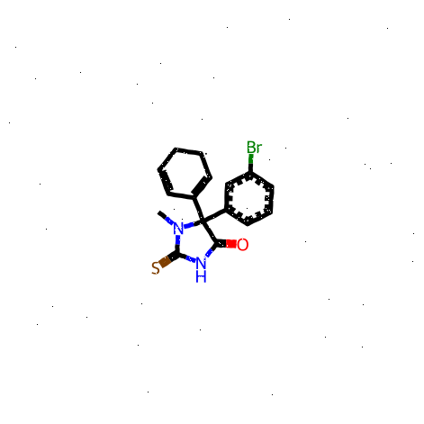 CN1C(=S)NC(=O)C1(C1=C[CH]CC=C1)c1cccc(Br)c1